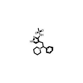 CS(=O)(=O)Nc1n[nH]cc1CC(c1ccccc1)N1CCCCC1